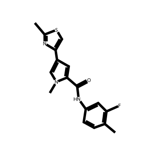 Cc1nc(-c2cc(C(=O)Nc3ccc(C)c(F)c3)n(C)c2)cs1